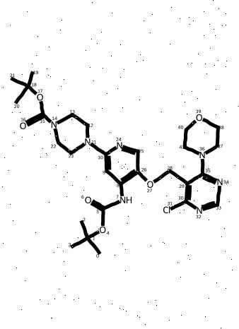 CC(C)(C)OC(=O)Nc1cc(N2CCN(C(=O)OC(C)(C)C)CC2)ncc1OCc1c(Cl)ncnc1N1CCOCC1